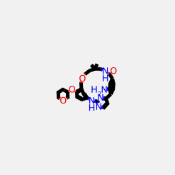 CC1(C)CCOCc2cc(ccc2OC2CCCOC2)Nc2nccc(n2)-c2ccc(cc2N)C(=O)NC1